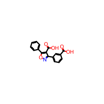 O=C(O)c1cccc(-c2noc(-c3ccccc3)c2C(=O)O)c1